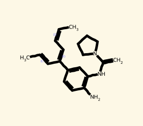 C=C(Nc1cc(C(/C=C/C)=C/C=C\C)ccc1N)N1CCCC1